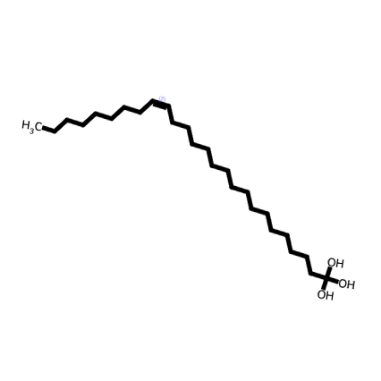 CCCCCCCC/C=C\CCCCCCCCCCCCCCCC(O)(O)O